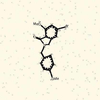 COc1ccc(CN2Cc3cc(Br)cc(OC)c3C2=O)cc1